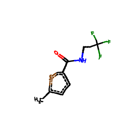 Cc1ccc(C(=O)NCC(F)(F)F)s1